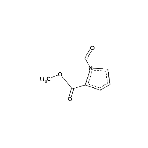 COC(=O)c1cccn1C=O